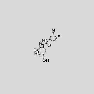 Cn1cc2c(c1C(=O)Nc1ccc(F)c(C#N)c1)CCC(C(C)(C)O)N[S+]2[O-]